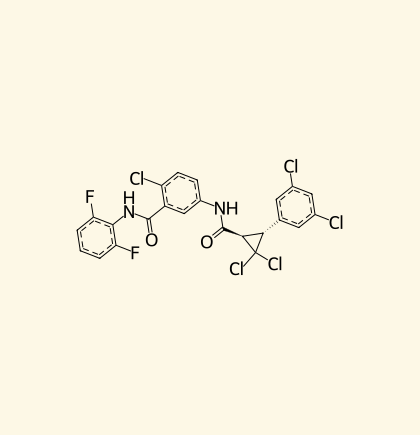 O=C(Nc1c(F)cccc1F)c1cc(NC(=O)[C@H]2[C@H](c3cc(Cl)cc(Cl)c3)C2(Cl)Cl)ccc1Cl